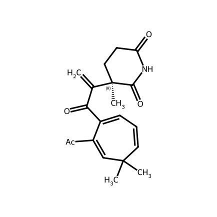 C=C(C(=O)C1=CC=CC(C)(C)C=C1C(C)=O)[C@@]1(C)CCC(=O)NC1=O